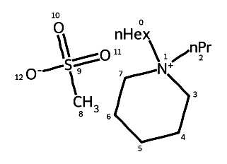 CCCCCC[N+]1(CCC)CCCCC1.CS(=O)(=O)[O-]